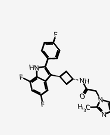 Cc1nccn1CC(=O)N[C@H]1C[C@H](c2c(-c3ccc(F)cc3)[nH]c3c(F)cc(F)cc32)C1